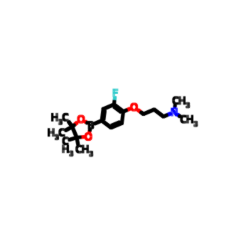 CN(C)CCCOc1ccc(B2OC(C)(C)C(C)(C)O2)cc1F